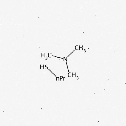 CCCS.CN(C)C